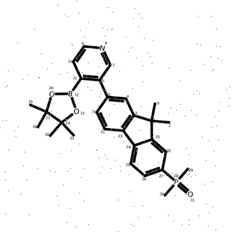 CC1(C)c2cc(-c3cnccc3B3OC(C)(C)C(C)(C)O3)ccc2-c2ccc(P(C)(C)=O)cc21